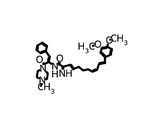 COc1ccc(/C=C/C=C\CCC/C=C/C(=N)C(=O)N/C(=C/c2ccccc2)C(=O)N2CCN(C)CC2)cc1OC